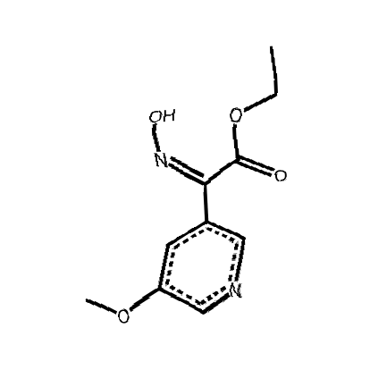 CCOC(=O)C(=NO)c1cncc(OC)c1